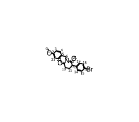 COc1ccc(CN2C(=O)CCC(c3ccc(Br)cc3)C2=O)cc1